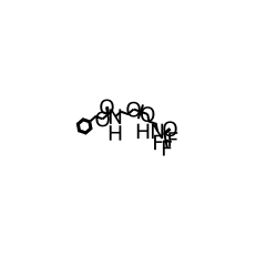 CC(C)(OCCNC(=O)OCc1ccccc1)OCCNC(=O)C(F)(F)F